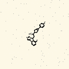 OC(CC1c2c(F)cccc2-c2cncn21)C1CC2C(C1)C2c1ccc(F)cc1